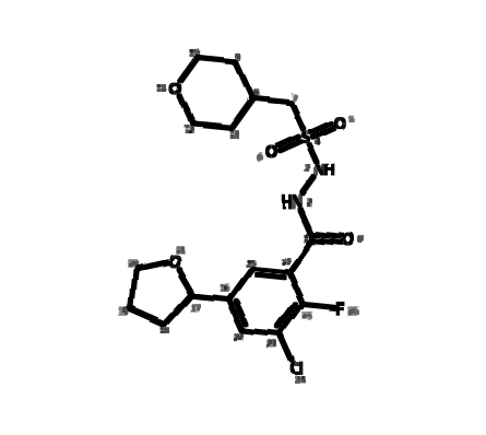 O=C(NNS(=O)(=O)CC1CCOCC1)c1cc(C2CCCO2)cc(Cl)c1F